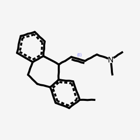 Cc1ccc2c(c1)C(/C=C/CN(C)C)c1ccccc1CC2